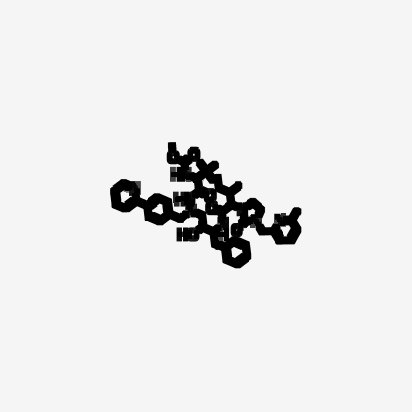 CCC(C)C(C(=O)NC(Cc1ccccc1)C(O)CN(Cc1ccc(-c2ccccn2)cc1)NC(=O)C(NC(=O)OC)C(C)(C)C)N1CCN(Cc2cccc(C)n2)C1=O